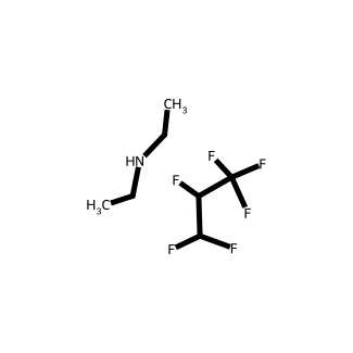 CCNCC.FC(F)C(F)C(F)(F)F